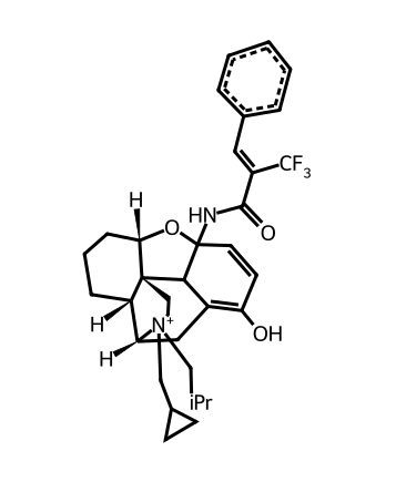 CC(C)C[N+]1(CC2CC2)CC[C@]23C4C5=C(O)C=CC4(NC(=O)C(=Cc4ccccc4)C(F)(F)F)O[C@H]2CCC[C@H]3[C@H]1C5